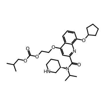 CC(C)COC(=O)OCCOc1cc(C(=O)N(C(C)C)[C@@H]2CCCNC2)nc2c(OC3CCCC3)cccc12